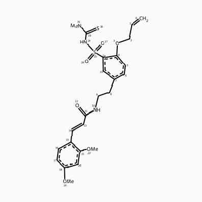 C=CCOc1ccc(CCNC(=O)C=Cc2ccc(OC)cc2OC)cc1S(=O)(=O)NC(=S)NC